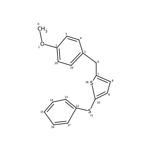 COc1ccc(Cc2ccc(Sc3ccccc3)s2)cc1